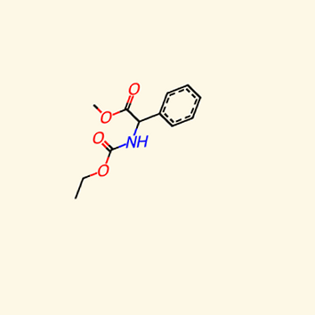 CCOC(=O)NC(C(=O)OC)c1ccccc1